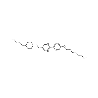 CCCCCCCCOc1ccc(-c2ncc(CCC3CCC(CCCCC)CC3)cn2)cc1